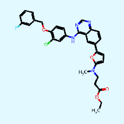 CCOC(=O)CCN(C)c1ccc(-c2ccc3ncnc(Nc4ccc(OCc5cccc(F)c5)c(Cl)c4)c3c2)o1